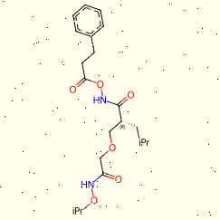 CC(C)C[C@H](COCC(=O)NOC(C)C)C(=O)NOC(=O)CCc1ccccc1